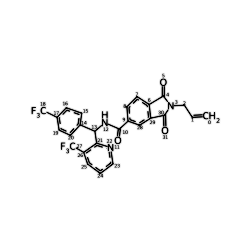 C=CCN1C(=O)c2ccc(C(=O)NC(c3ccc(C(F)(F)F)cc3)c3ncccc3C(F)(F)F)cc2C1=O